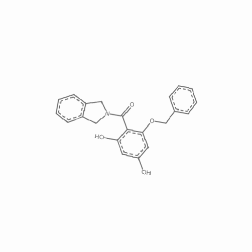 O=C(c1c(O)cc(O)cc1OCc1ccccc1)N1Cc2ccccc2C1